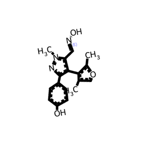 Cc1coc(C)c1-c1c(-c2ccc(O)cc2)nn(C)c1/C=N/O